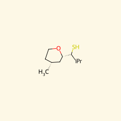 CC(C)C(S)[C@@H]1C[C@H](C)CCO1